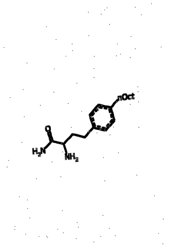 CCCCCCCCc1ccc(CCC(N)C(N)=O)cc1